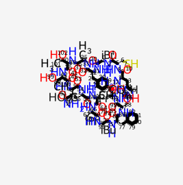 CC[C@H](C)[C@H](NC(=O)[C@H](CS)NC(=O)[C@@H](N)Cc1cnc[nH]1)C(=O)N[C@@H](Cc1ccc(O)cc1)C(=O)N[C@@H](C)C(=O)N[C@H](C(=O)N[C@H](C(=O)N[C@@H](CC(N)=O)C(=O)N[C@@H](CC(=O)O)C(=O)N[C@@H](C)C(=O)N[C@@H](CC(C)C)C(=O)N[C@H](C(=O)N[C@@H](Cc1ccccc1)C(=O)N[C@@H](CO)C(=O)N[C@H](C(=O)O)C(C)C)[C@@H](C)CC)[C@@H](C)O)[C@@H](C)O